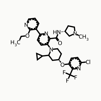 CCOc1ncccc1-c1ccc(N2CC[C@@H](Oc3ccc(Cl)nc3C(F)(F)F)CC2C2CC2)c(C(=O)N[C@@H]2CCN(C)C2)n1